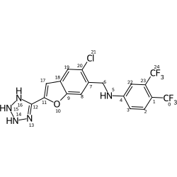 FC(F)(F)c1ccc(NCc2cc3oc(C4=NNNN4)cc3cc2Cl)cc1C(F)(F)F